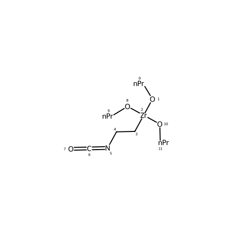 CCC[O][Zr]([CH2]CN=C=O)([O]CCC)[O]CCC